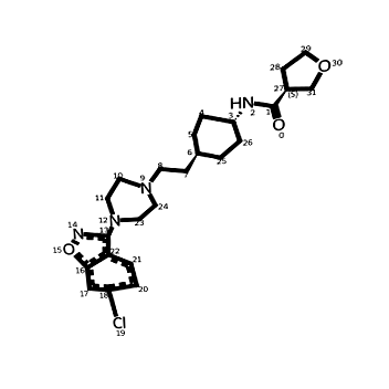 O=C(N[C@H]1CC[C@H](CCN2CCN(c3noc4cc(Cl)ccc34)CC2)CC1)[C@H]1CCOC1